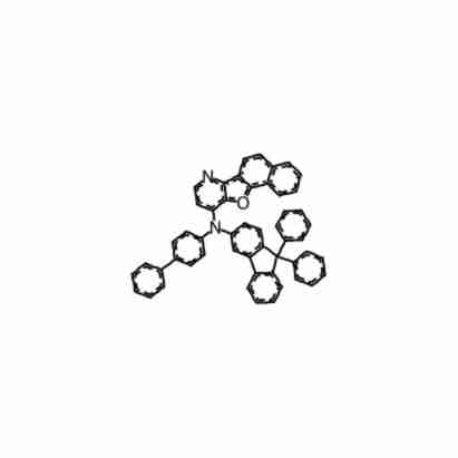 c1ccc(-c2ccc(N(c3ccc4c(c3)-c3ccccc3C4(c3ccccc3)c3ccccc3)c3ccnc4c3oc3c5ccccc5ccc43)cc2)cc1